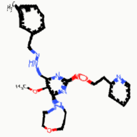 COc1c(N/N=C/c2cccc(C)c2)nc(OCCc2ccccn2)nc1N1CCOCC1